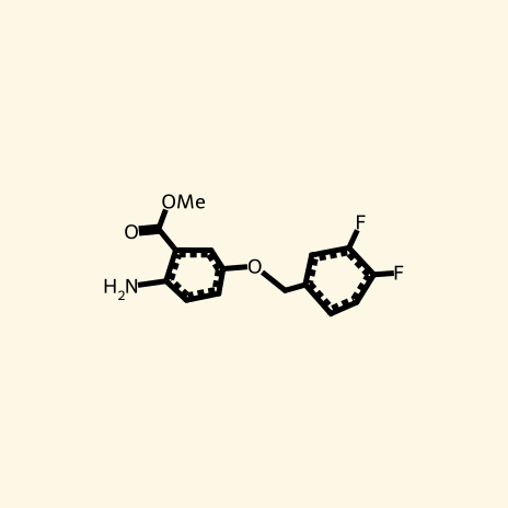 COC(=O)c1cc(OCc2ccc(F)c(F)c2)ccc1N